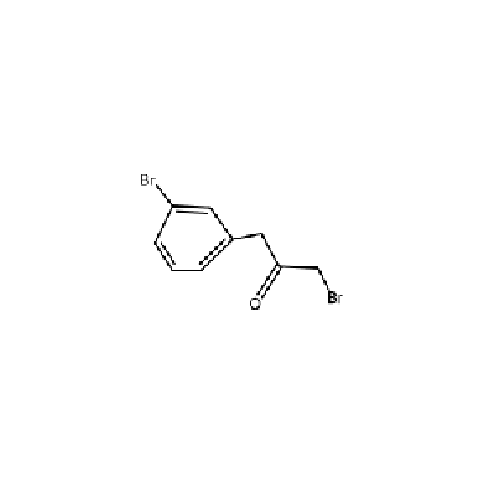 O=C(CBr)Cc1cccc(Br)c1